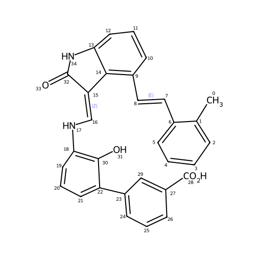 Cc1ccccc1/C=C/c1cccc2c1/C(=C/Nc1cccc(-c3cccc(C(=O)O)c3)c1O)C(=O)N2